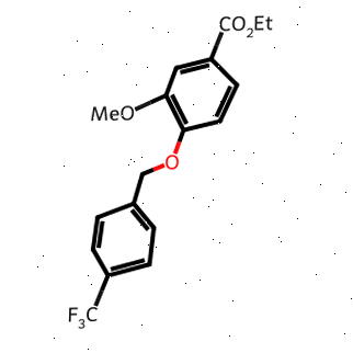 CCOC(=O)c1ccc(OCc2ccc(C(F)(F)F)cc2)c(OC)c1